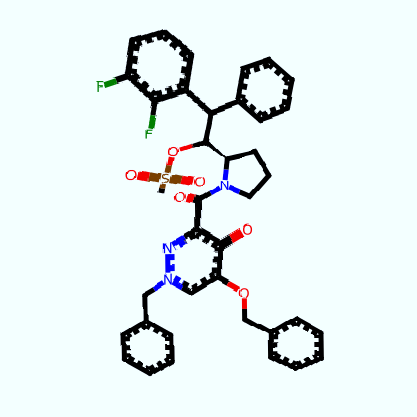 CS(=O)(=O)OC(C(c1ccccc1)c1cccc(F)c1F)[C@H]1CCCN1C(=O)c1nn(Cc2ccccc2)cc(OCc2ccccc2)c1=O